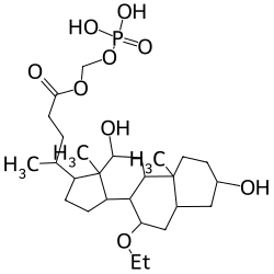 CCOC1CC2CC(O)CCC2(C)C2CC(O)C3(C)C(C(C)CCC(=O)OCOP(=O)(O)O)CCC3C12